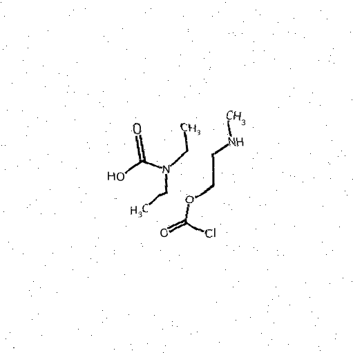 CCN(CC)C(=O)O.CNCCOC(=O)Cl